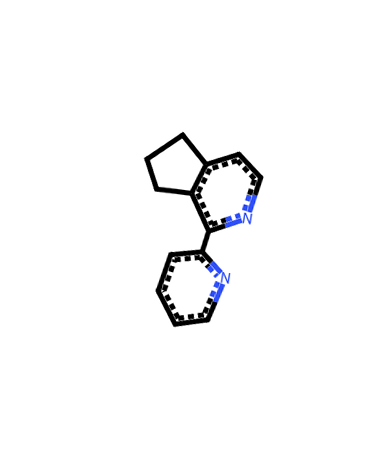 c1ccc(-c2nccc3c2CCC3)nc1